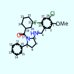 COc1cc(CNC2CCC(c3ccccc3)N2C(=O)C2CCCCC2)c(F)cc1Cl